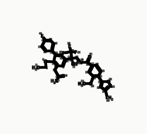 CCOc1c(CC(N)=O)cc([C@@](O)(CNC(=O)c2ccc(-c3cc(C)no3)c(OC)c2)C(F)(F)F)nc1-c1ccc(F)cc1